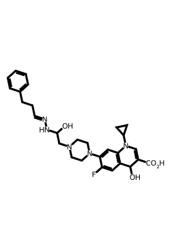 O=C(O)C1=CN(C2CC2)c2cc(N3CCN(CC(O)N/N=C/CCc4ccccc4)CC3)c(F)cc2C1O